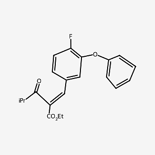 CCOC(=O)/C(=C/c1ccc(F)c(Oc2ccccc2)c1)C(=O)C(C)C